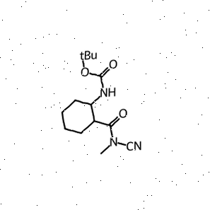 CN(C#N)C(=O)C1CCCCC1NC(=O)OC(C)(C)C